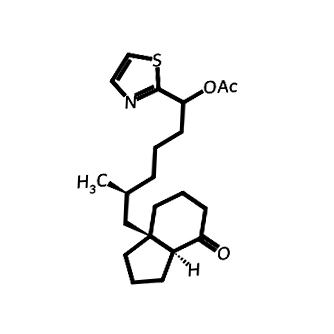 CC(=O)OC(CCC[C@H](C)C[C@@]12CCCC(=O)[C@H]1CCC2)c1nccs1